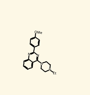 CCN1CCN(c2nc(-c3ccc(OC)cc3)nc3ccccc23)CC1